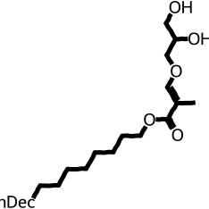 CCCCCCCCCCCCCCCCCCOC(=O)C(C)=COCC(O)CO